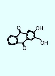 O=C1c2ccccc2C(=O)c2cc(CO)c(O)cc21